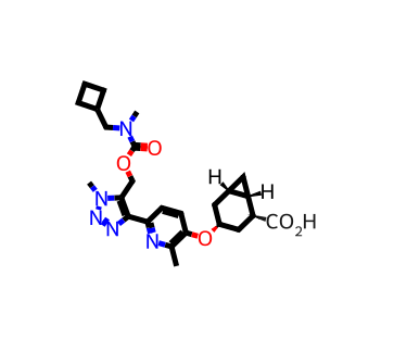 Cc1nc(-c2nnn(C)c2COC(=O)N(C)CC2CCC2)ccc1O[C@H]1C[C@@H]2C[C@@H]2[C@@H](C(=O)O)C1